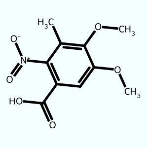 COc1cc(C(=O)O)c([N+](=O)[O-])c(C)c1OC